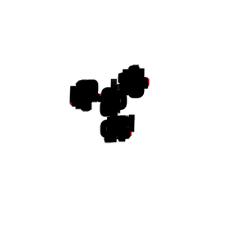 O=C(NCCCCCCn1c(=O)n(CCCCCCNC(=O)N(/C(=N/C2CCCCC2)ON=C2CCCC2)C2CCCCC2)c(=O)n(CCCCCCNC(=O)N(/C(=N/C2CCCCC2)ON=C2CCCC2)C2CCCCC2)c1=O)N(/C(=N/C1CCCCC1)ON=C1CCCC1)C1CCCCC1